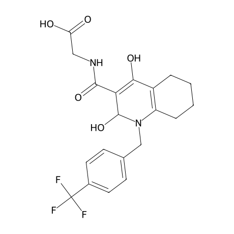 O=C(O)CNC(=O)C1=C(O)C2=C(CCCC2)N(Cc2ccc(C(F)(F)F)cc2)C1O